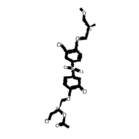 COC[C@@H](C)COc1ccc(S(=O)(=O)c2ccc(OC[C@H](CCl)OC(C)=O)c(Cl)c2)cc1Cl